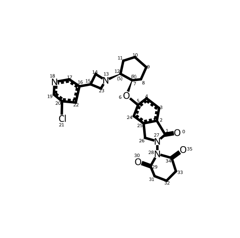 O=C1c2ccc(O[C@@H]3CCCC[C@@H]3N3CC(c4cncc(Cl)c4)C3)cc2CN1N1C(=O)CCCC1=O